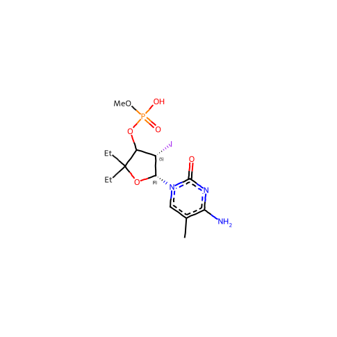 CCC1(CC)O[C@@H](n2cc(C)c(N)nc2=O)[C@@H](I)C1OP(=O)(O)OC